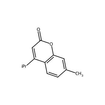 Cc1ccc2c(C(C)C)cc(=O)oc2c1